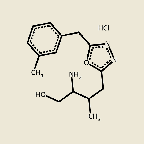 Cc1cccc(Cc2nnc(CC(C)C(N)CO)o2)c1.Cl